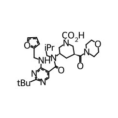 CC(C)CN(C(=O)c1cnc(C(C)(C)C)nc1NCc1ccco1)[C@@H]1C[C@H](C(=O)N2CCOCC2)CN(C(=O)O)C1